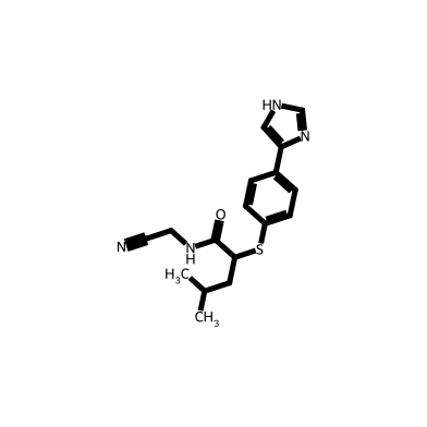 CC(C)CC(Sc1ccc(-c2c[nH]cn2)cc1)C(=O)NCC#N